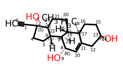 C#C[C@]1(O)CC[C@H]2[C@@H]3[C@@H](O)C=C4C[C@H](O)CC[C@]4(C)[C@H]3CC[C@@]21C